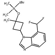 CC1(O[Si](C)(C)C(C)(C)C)CC(n2cnc3cccc(C(F)F)c32)C1